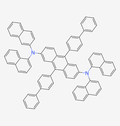 c1ccc(-c2ccc(-c3c4ccc(N(c5cccc6ccccc56)c5cccc6ccccc56)cc4c(-c4ccc(-c5ccccc5)cc4)c4ccc(N(c5ccc6ccccc6c5)c5cccc6ccccc56)cc34)cc2)cc1